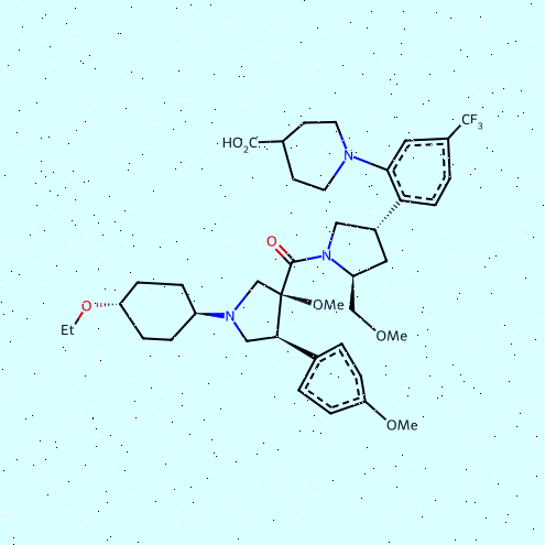 CCO[C@H]1CC[C@H](N2C[C@H](c3ccc(OC)cc3)[C@@](OC)(C(=O)N3C[C@H](c4ccc(C(F)(F)F)cc4N4CCC(C(=O)O)CC4)C[C@H]3COC)C2)CC1